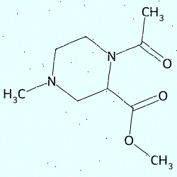 COC(=O)C1CN(C)CCN1C(C)=O